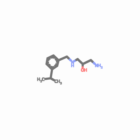 CC(C)c1cccc(CNCC(O)CN)c1